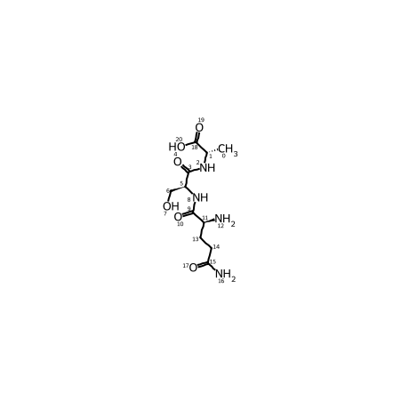 C[C@H](NC(=O)[C@H](CO)NC(=O)[C@@H](N)CCC(N)=O)C(=O)O